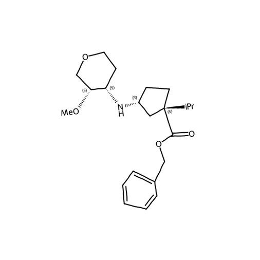 CO[C@@H]1COCC[C@@H]1N[C@@H]1CC[C@@](C(=O)OCc2ccccc2)(C(C)C)C1